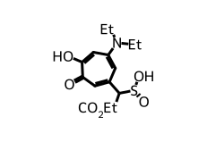 CCOC(=O)C(c1cc(N(CC)CC)cc(O)c(=O)c1)S(=O)O